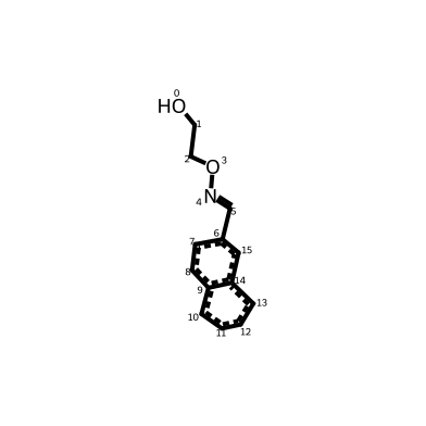 OCCO/N=C/c1ccc2ccccc2c1